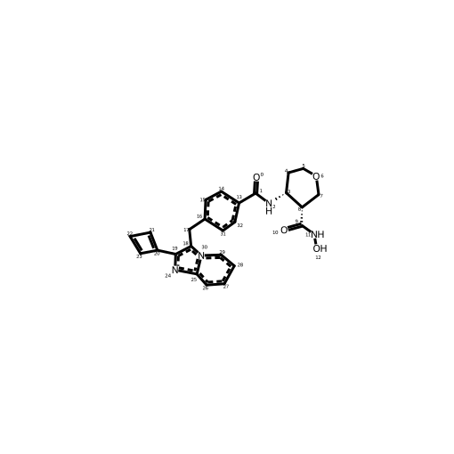 O=C(N[C@@H]1CCOC[C@@H]1C(=O)NO)c1ccc(Cc2c(C3=CC=C3)nc3ccccn23)cc1